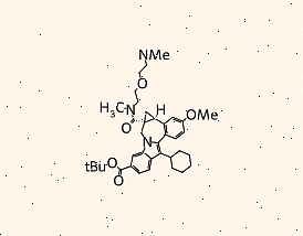 CNCCOCCN(C)C(=O)[C@]12C[C@H]1c1cc(OC)ccc1-c1c(C3CCCCC3)c3ccc(C(=O)OC(C)(C)C)cc3n1C2